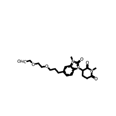 CN1C(=O)CCC(n2c(=O)n(C)c3cc(CCCOCCOCC=O)ccc32)C1=O